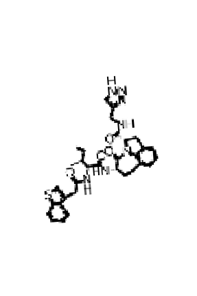 CC[C@H](C)[C@H](NC(=O)Cc1csc2ccccc12)C(=O)N[C@H]1CCc2cccc3c2N(C1=O)[C@H](C(=O)NCc1c[nH]nn1)C3